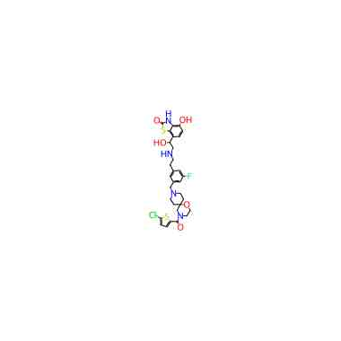 O=C(c1ccc(Cl)s1)N1CCOC2(CCN(Cc3cc(F)cc(CCNCC(O)c4ccc(O)c5[nH]c(=O)sc45)c3)CC2)C1